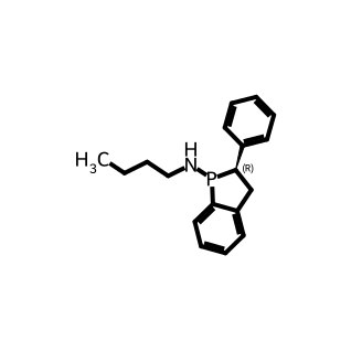 CCCCNP1c2ccccc2C[C@@H]1c1ccccc1